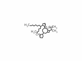 CCCCCCCC(CCCC(C)C)C1CC=CC1C1CCC(C2CCCCC2)CC2CC(C(C)N(C)C)C2C1